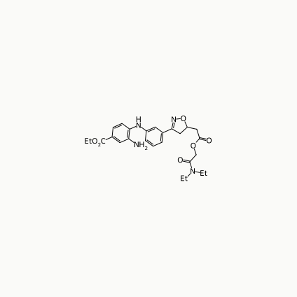 CCOC(=O)c1ccc(Nc2cccc(C3=NOC(CC(=O)OCC(=O)N(CC)CC)C3)c2)c(N)c1